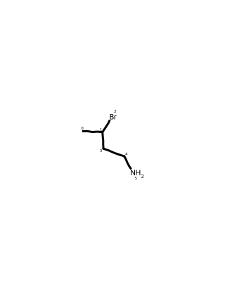 CC(Br)CCN